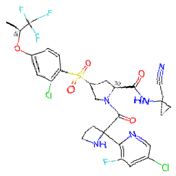 C[C@H](Oc1ccc(S(=O)(=O)C2C[C@@H](C(=O)NC3(C#N)CC3)N(C(=O)C3(c4ncc(Cl)cc4F)CCN3)C2)c(Cl)c1)C(F)(F)F